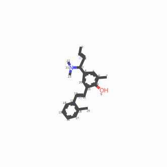 C/C=C/C(c1cc(C)c(O)c(/C=C/c2ccccc2C)c1)N(C)C